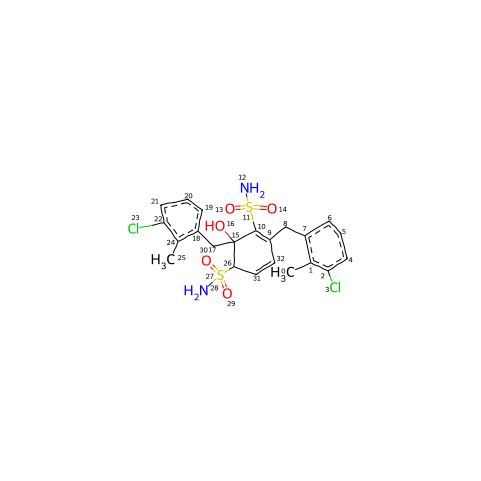 Cc1c(Cl)cccc1CC1=C(S(N)(=O)=O)C(O)(Cc2cccc(Cl)c2C)C(S(N)(=O)=O)C=C1